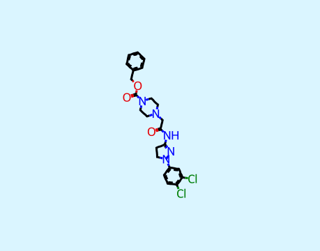 O=C(CN1CCN(C(=O)OCc2ccccc2)CC1)NC1=NN(c2ccc(Cl)c(Cl)c2)CC1